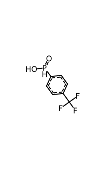 O=[PH](O)c1ccc(C(F)(F)F)cc1